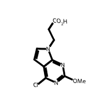 COc1nc(Cl)c2ccn(CCC(=O)O)c2n1